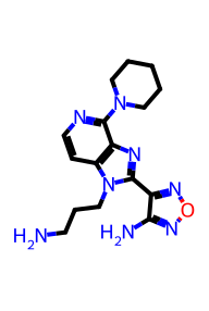 NCCCn1c(-c2nonc2N)nc2c(N3CCCCC3)nccc21